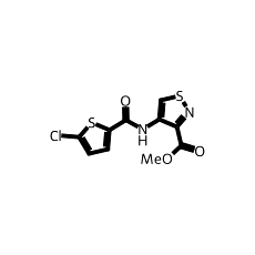 COC(=O)c1nscc1NC(=O)c1ccc(Cl)s1